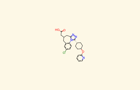 O=C(O)CC1Cc2cc(Cl)ccc2-n2c(nnc2[C@H]2CC[C@H](Oc3ccccn3)CC2)C1